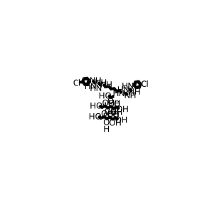 CC(=O)O.N=C(NCCCCCCNC(=N)NC(=N)Nc1ccc(Cl)cc1)NC(=N)Nc1ccc(Cl)cc1.O=C(O)[C@H](O)[C@@H](O)[C@H](O)[C@H](O)CO.O=C(O)[C@H](O)[C@@H](O)[C@H](O)[C@H](O)CO